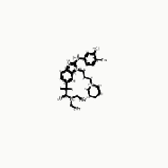 CC(C)CN(CC(C)C)C(=O)C(C)(C)c1ccc2nc(Nc3ccc(F)c(Cl)c3)n(CCCN3CCCCC3)c2c1